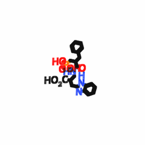 O=C(O)C(CNC(=O)C(Cc1ccccc1)CP(=O)(O)O)Cc1nc2ccccc2[nH]1